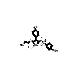 Cc1ccc(-c2c(NS(=O)(=O)c3ccc(C(C)(C)C)cc3)nn(C)c2OCCO)cc1